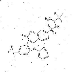 C[C@H](NS(=O)(=O)c1ccc(-c2c(C(N)=O)c3cc(C(F)(F)F)cnc3n2-c2ccccc2)cc1)C(F)(F)F